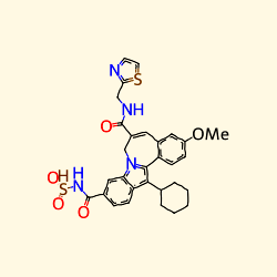 COc1ccc2c(c1)C=C(C(=O)NCc1nccs1)Cn1c-2c(C2CCCCC2)c2ccc(C(=O)N[SH](=O)=O)cc21